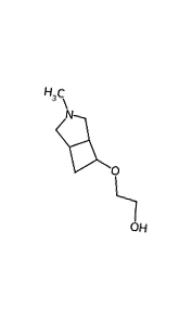 CN1CC2CC(OCCO)C2C1